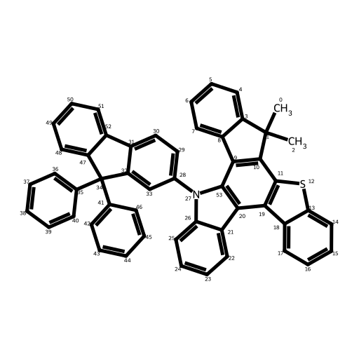 CC1(C)c2ccccc2-c2c1c1sc3ccccc3c1c1c3ccccc3n(-c3ccc4c(c3)C(c3ccccc3)(c3ccccc3)c3ccccc3-4)c21